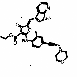 CCOC(=O)C1=C(Nc2ccc(C#CCN3CCOCC3)cc2C)O/C(=C\c2c[nH]c3ncccc23)C1=O